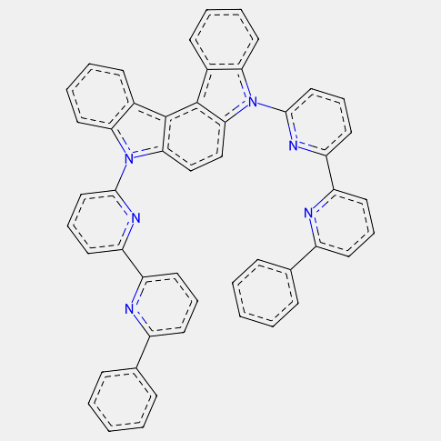 c1ccc(-c2cccc(-c3cccc(-n4c5ccccc5c5c6c7ccccc7n(-c7cccc(-c8cccc(-c9ccccc9)n8)n7)c6ccc54)n3)n2)cc1